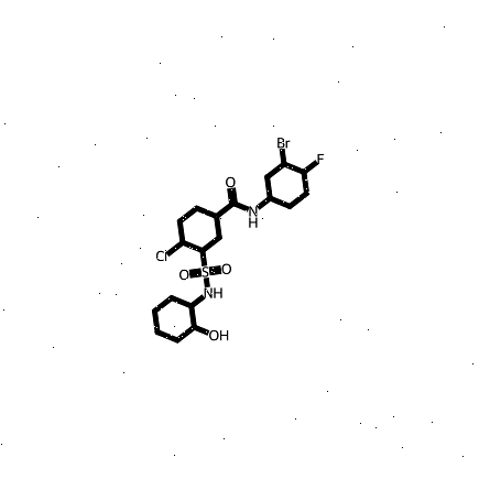 O=C(NC1CCC(F)C(Br)C1)C1CCC(Cl)C(S(=O)(=O)NC2CCCCC2O)C1